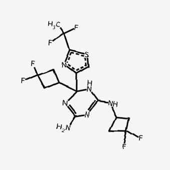 CC(F)(F)c1nc(C2(C3CC(F)(F)C3)N=C(N)N=C(NC3CC(F)(F)C3)N2)cs1